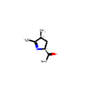 COC(=O)[C@@H]1C[C@H](C)C(C)=N1